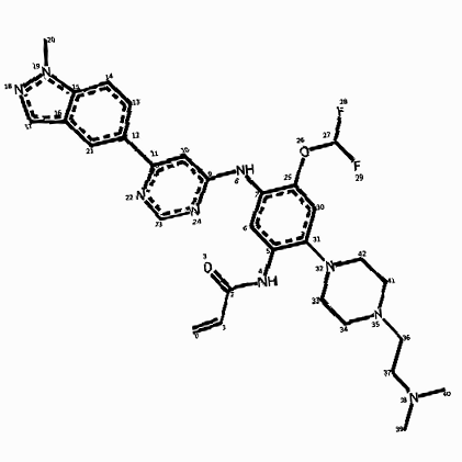 C=CC(=O)Nc1cc(Nc2cc(-c3ccc4c(cnn4C)c3)ncn2)c(OC(F)F)cc1N1CCN(CCN(C)C)CC1